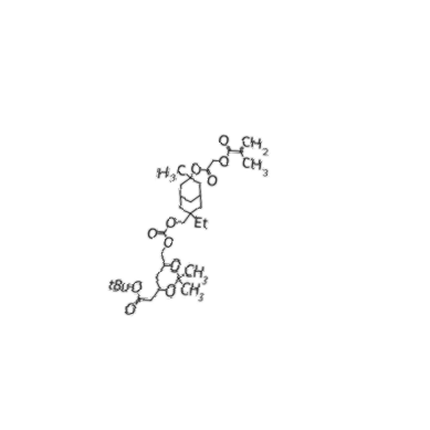 C=C(C)C(=O)OCC(=O)OC1(C)CC2CC(CC(CC)(COC(=O)OCC3CC(CC(=O)OC(C)(C)C)OC(C)(C)O3)C2)C1